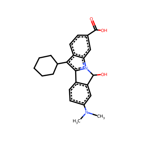 CN(C)c1ccc2c(c1)C(O)n1c-2c(C2CCCCC2)c2ccc(C(=O)O)cc21